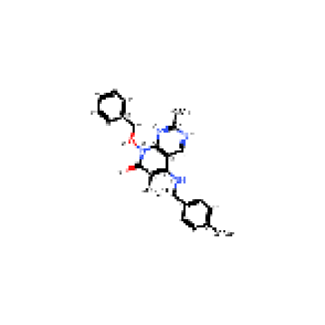 CCOC(=O)c1c(NCc2ccc(OC)cc2)c2cnc(SC)nc2n(OCc2ccccc2)c1=O